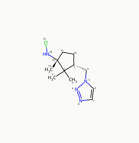 CC1(C)[C@@H](Cn2ccnn2)CC[C@@]1(C)NCl